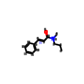 CCCN(C)C(=O)/C=C/c1ccccc1